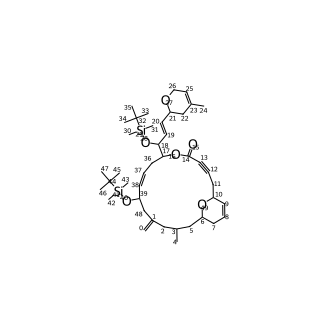 C=C1CC(C)CC2CC=CC(CC#CC(=O)OC(C(C=CC3CC(C)=CCO3)O[Si](C)(C)C(C)(C)C)CC=CC(O[Si](C)(C)C(C)(C)C)C1)O2